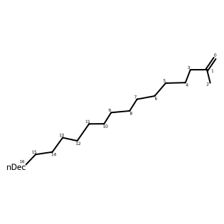 C=C(C)CCCCCCCCCCCCCCCCCCCCCCC